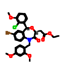 CCOC(=O)C[C@H]1O[C@H](c2cccc(OC)c2Cl)c2cc(Br)ccc2N(Cc2ccc(OC)cc2OC)C1=O